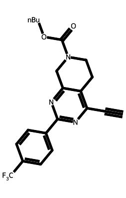 C#Cc1nc(-c2ccc(C(F)(F)F)cc2)nc2c1CCN(C(=O)OCCCC)C2